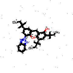 CC(C)(C)CC(C)(C)c1cc(Cc2cc(C(C)(C)CC(C)(C)C)cc(C(C)(C)CC(C)(C)C)c2O)c(O)c(-n2nc3ccccc3n2)c1